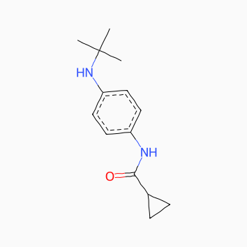 CC(C)(C)Nc1ccc(NC(=O)C2CC2)cc1